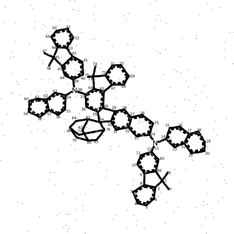 CC1(C)c2ccccc2-c2ccc(N(c3ccc4ccccc4c3)c3ccc4cc5c(cc4c3)C3(c4cc(N(c6ccc7c(c6)C(C)(C)c6ccccc6-7)c6ccc7ccccc7c6)c6c(c4-5)-c4ccccc4C6(C)C)C4CC5CC(C4)CC3C5)cc21